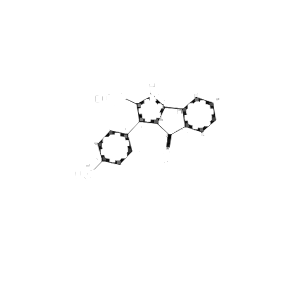 CCOC(=O)c1[nH]c2c(c1-c1ccc(C)cc1)C(=O)c1ccccc1-2